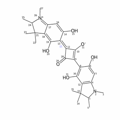 CC1N(C)c2cc(O)c(C3=C([O-])/C(=c4\c(O)cc5c(c4O)C(C)(C)C(C)[N+]=5C)C3=O)c(O)c2C1(C)C